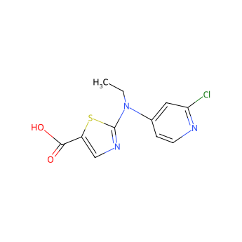 CCN(c1ccnc(Cl)c1)c1ncc(C(=O)O)s1